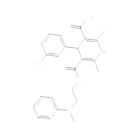 COC(=O)C1=C(C)NC(C)=C(C(=O)OCCN(C)c2ccccc2)C1c1cccc([N+](=O)[O-])c1